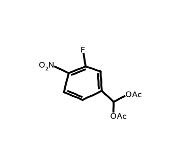 CC(=O)OC(OC(C)=O)c1ccc([N+](=O)[O-])c(F)c1